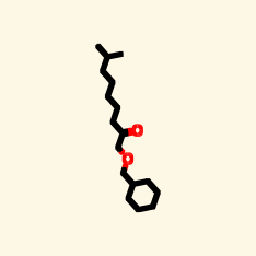 CC(C)CCCCCC(=O)COCC1CCCCC1